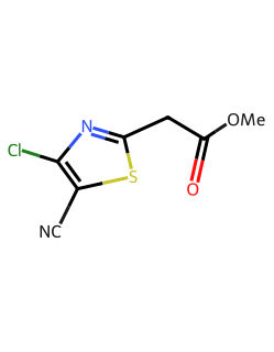 COC(=O)Cc1nc(Cl)c(C#N)s1